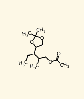 CC[C@H](C(C)COC(C)=O)C1COC(C)(C)O1